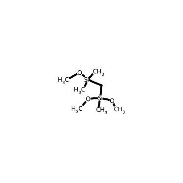 CO[Si](C)(C)C[Si](C)(OC)OC